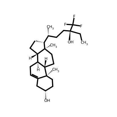 CC[C@](O)(CC[C@@H](C)[C@H]1CC[C@H]2[C@@H]3CC=C4C[C@@H](O)CC[C@]4(C)[C@H]3CC[C@]12C)C(F)(F)F